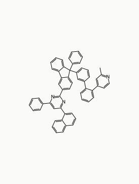 Cc1cc(-c2ccccc2-c2cccc(C3(c4ccccc4)c4ccccc4-c4cc(-c5nc(-c6ccccc6)cc(-c6cccc7ccccc67)n5)ccc43)c2)ccn1